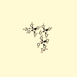 O=P([O-])([O-])[O-].O=P([O-])([O-])[O-].O=P([O-])([O-])[O-].[Ta+5].[Zr+4]